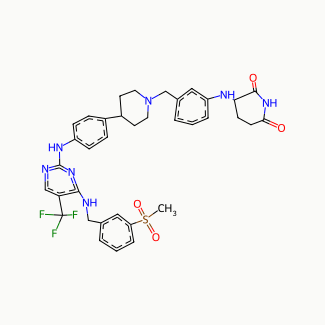 CS(=O)(=O)c1cccc(CNc2nc(Nc3ccc(C4CCN(Cc5cccc(NC6CCC(=O)NC6=O)c5)CC4)cc3)ncc2C(F)(F)F)c1